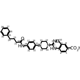 N=C(Nc1ccc(C(=O)O)cc1Cl)N1CCN(c2ccc(NC(=O)CCCc3ccccc3)cc2)CC1